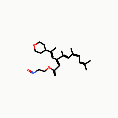 C=C(/C=C(\C=C(/C)C1CCOCC1)C(/C)=C/C(C)=C\C=C(C)C)OCCN=O